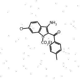 CCOC(=O)n1c(C(=O)c2ccc(C)cc2)c(N)c2ccc(Cl)cc21